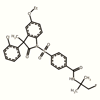 CCOc1ccc2c(c1)C(C)(c1ccccc1Cl)C(=O)N2S(=O)(=O)c1ccc(C(=O)NC(C)(C)CF)cc1